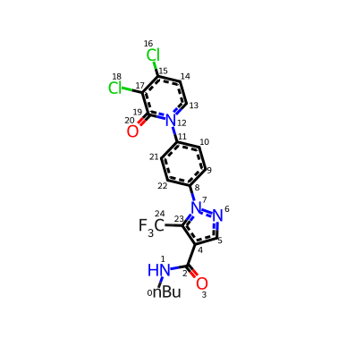 CCCCNC(=O)c1cnn(-c2ccc(-n3ccc(Cl)c(Cl)c3=O)cc2)c1C(F)(F)F